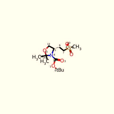 CC(C)(C)OC(=O)N1[C@@H](CCS(C)(=O)=O)COC1(C)C